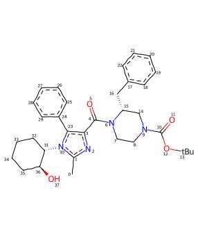 Cc1nc(C(=O)N2CCN(C(=O)OC(C)(C)C)C[C@H]2Cc2ccccc2)c(-c2ccccc2)n1[C@H]1CCCC[C@@H]1O